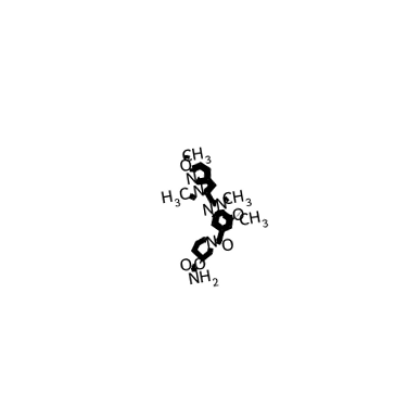 CCn1c(-c2nc3cc(C(=O)N4CCC[C@@H](OC(N)=O)C4)cc(OC)c3n2C)cc2ccc(OC)nc21